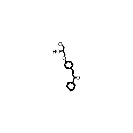 O=C(C=Cc1ccc(OCC(O)CCl)cc1)c1ccccc1